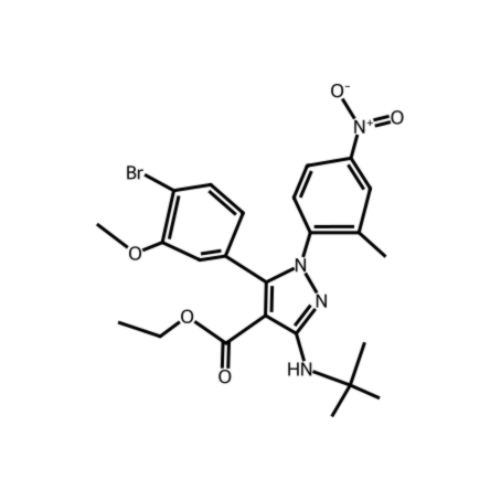 CCOC(=O)c1c(NC(C)(C)C)nn(-c2ccc([N+](=O)[O-])cc2C)c1-c1ccc(Br)c(OC)c1